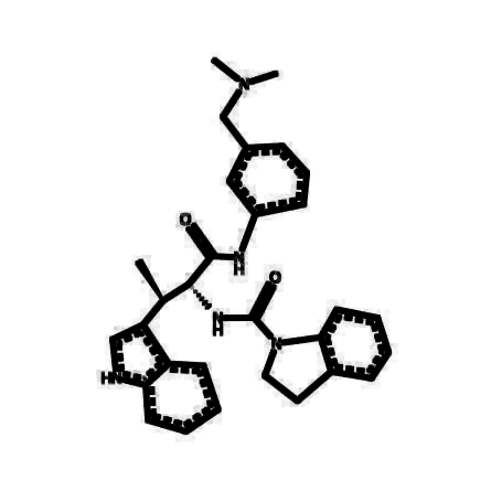 C[C@H](c1c[nH]c2ccccc12)[C@@H](NC(=O)N1CCc2ccccc21)C(=O)Nc1cccc(CN(C)C)c1